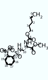 C=CCCCOC(=O)N[C@@H](CNS(=O)(=O)c1ccccc1[N+](=O)[O-])C(=O)OC